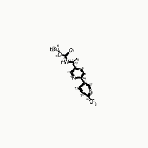 C[C@H](NC(=O)OC(C)(C)C)c1ccc(-c2ccc(C(F)(F)F)nc2)nc1